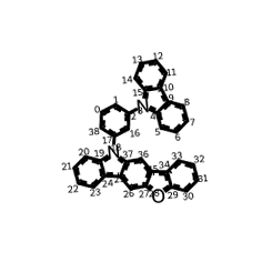 c1cc(-n2c3ccccc3c3ccccc32)cc(-n2c3ccccc3c3cc4oc5ccccc5c4cc32)c1